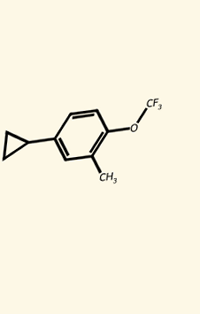 Cc1cc(C2CC2)ccc1OC(F)(F)F